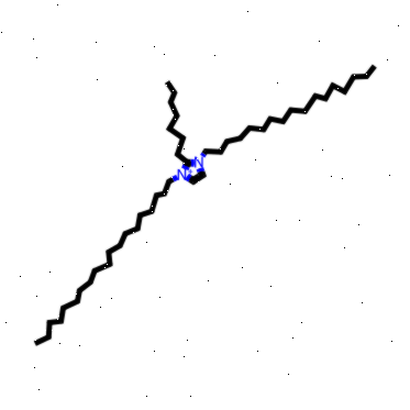 CCCCCCCCCCCCCCCCCCC[n+]1ccn(CCCCCCCCCCCCCCCCC)c1CCCCCCC